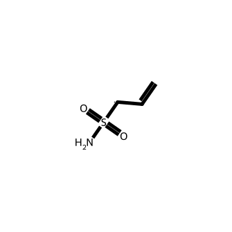 C=C[CH]S(N)(=O)=O